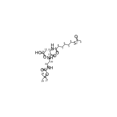 CC(=O)SCCCCCC(=O)N[C@@H](CC(=O)O)C(=O)NCCNC(=O)OC(C)(C)C